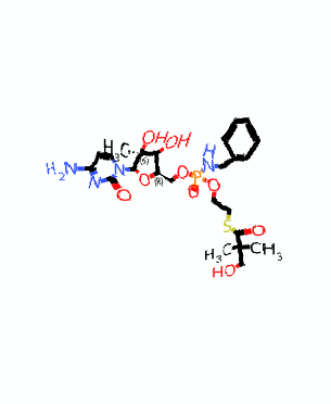 CC(C)(CO)C(=O)SCCOP(=O)(NCc1ccccc1)OC[C@H]1OC(n2ccc(N)nc2=O)[C@@](C)(O)C1O